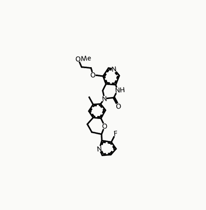 COCCOc1cncc2c1CN(c1cc3c(cc1C)CCC(c1ncccc1F)O3)C(=O)N2